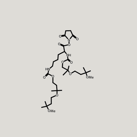 COC(C)(C)CCOC(C)(C)CCOC(=O)NCCCCC(NC(=O)OCC(C)(C)OCCC(C)(C)OC)C(=O)ON1C(=O)CCC1=O